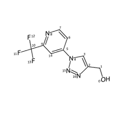 OCc1cn(-c2ccnc(C(F)(F)F)c2)nn1